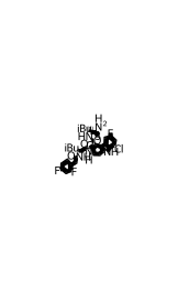 CCC(C)[C@H](NC(=O)Cc1ccc(F)cc1F)C(=O)N[C@@]1(OC(=O)NC(C(N)=S)[C@@H](C)CC)CCc2[nH]c3c(Cl)cc(F)cc3c2C1